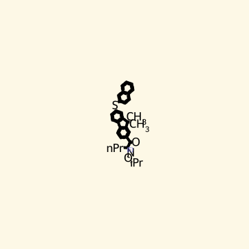 CCC/C(=N\OC(C)C)C(=O)c1ccc2c(c1)C(C)(C)c1cc(Sc3ccc4ccccc4c3)ccc1-2